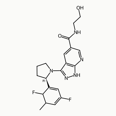 CC1C=C(F)C=C([C@H]2CCCN2c2n[nH]c3ncc(C(=O)NCCO)cc23)C1F